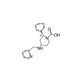 O=C(O)N1CCC(NCc2ccccn2)C[C@H]1c1ccccc1